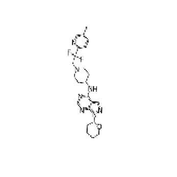 Cc1ccc(C(F)(F)CN2CCC(Nc3ncnc4c3cnn4C3CCCCO3)CC2)nc1